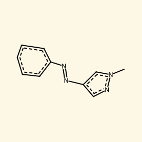 Cn1cc(/N=N/c2ccccc2)cn1